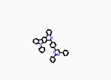 c1ccc(-c2cc(-c3ccc(-c4nc5ccccc5c5cc6c7ccccc7n(-c7ccccc7)c6cc45)cc3)nc(-c3ccccc3)n2)cc1